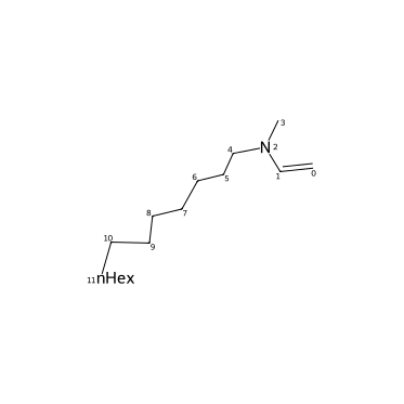 C=CN(C)CCCCCCCCCCCCC